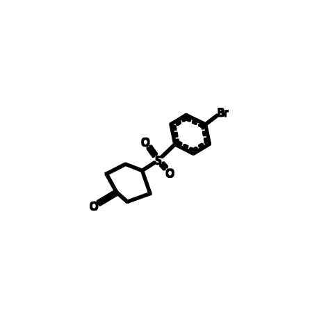 O=C1CCC(S(=O)(=O)c2ccc(Br)cc2)CC1